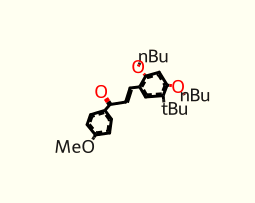 CCCCOc1cc(OCCCC)c(C(C)(C)C)cc1C=CC(=O)c1ccc(OC)cc1